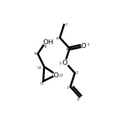 C=CCOC(=O)CC.OCC1CO1